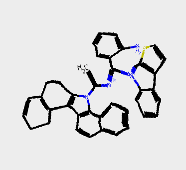 C=C(/N=C(\c1ccccc1N)n1c2ccccc2c2ccsc21)n1c2c(c3ccc4ccccc4c31)C1=C(C=CCC1)CC2